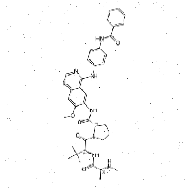 CN[C@@H](C)C(=O)N[C@H](C(=O)N1CCC[C@H]1C(=O)Nc1cc2c(Nc3ccc(NC(=O)c4ccccc4)cc3)ncnc2cc1OC)C(C)(C)C